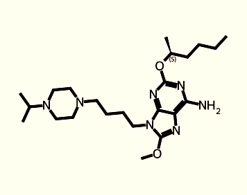 CCCC[C@H](C)Oc1nc(N)c2nc(OC)n(CCCCN3CCN(C(C)C)CC3)c2n1